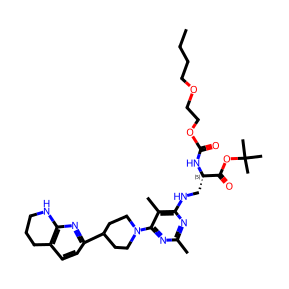 CCCCOCCOC(=O)N[C@@H](CNc1nc(C)nc(N2CCC(c3ccc4c(n3)NCCC4)CC2)c1C)C(=O)OC(C)(C)C